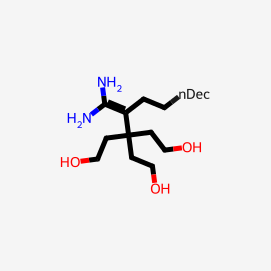 CCCCCCCCCCCCC(=C(N)N)C(CCO)(CCO)CCO